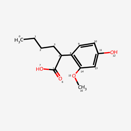 CCCCC(C(=O)O)c1ccc(O)cc1OC